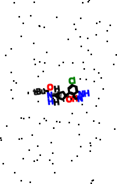 CC(C)(C)C(=O)N[C@H]1[C@@H]2C[C@@](O)(c3cc(Cl)cc4[nH]ncc34)C[C@@H]21